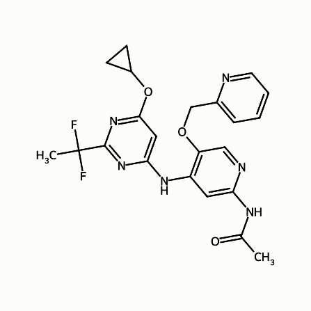 CC(=O)Nc1cc(Nc2cc(OC3CC3)nc(C(C)(F)F)n2)c(OCc2ccccn2)cn1